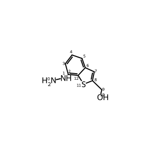 NNc1cccc2cc(CO)sc12